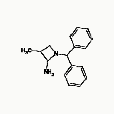 CC1CN(C(c2ccccc2)c2ccccc2)C1N